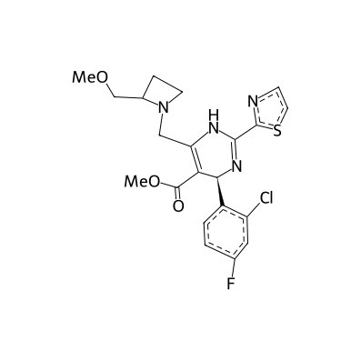 COCC1CCN1CC1=C(C(=O)OC)[C@H](c2ccc(F)cc2Cl)N=C(c2nccs2)N1